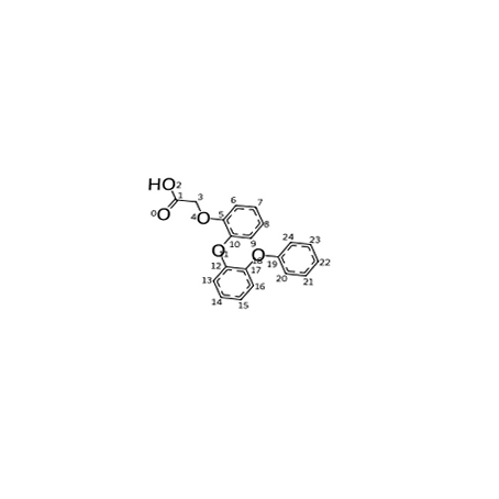 O=C(O)COc1ccccc1Oc1ccccc1Oc1ccccc1